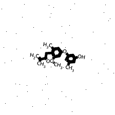 C=C(C)C(=O)[CH]c1c(C)cc(Oc2cc(C)cc(O)c2)cc1OC